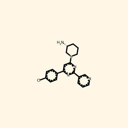 N[C@@H]1CCCN(c2cc(-c3ccc(Cl)cc3)nc(-c3cccnc3)n2)C1